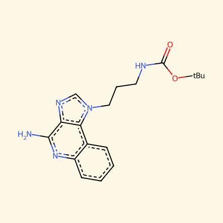 CC(C)(C)OC(=O)NCCCn1cnc2c(N)nc3ccccc3c21